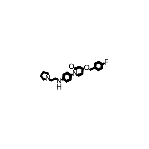 O=c1cc(OCc2ccc(F)cc2)ccn1-c1ccc(NCCN2CCCC2)cc1